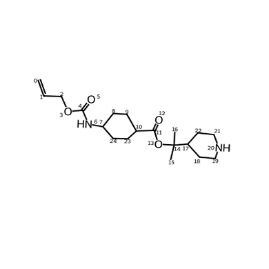 C=CCOC(=O)NC1CCC(C(=O)OC(C)(C)C2CCNCC2)CC1